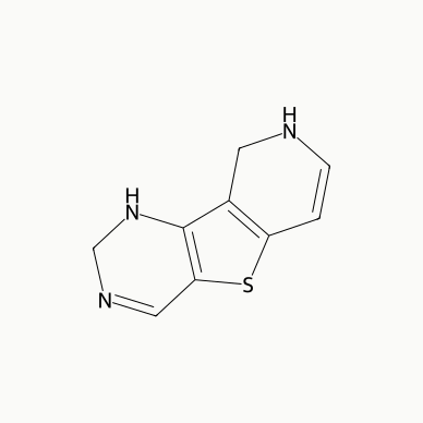 C1=Cc2sc3c(c2CN1)NCN=C3